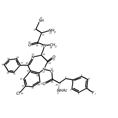 CC(=O)N[C@@H](Cc1ccc(F)cc1)C(=O)ON1C(=O)C(N(C)C(=O)C(N)CS)N=C(c2ccccc2)c2cc(Cl)ccc21